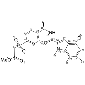 COC(=O)CS(=O)(=O)c1ccc([C@@H](C)NC(=O)c2cc3c(Cl)cc(C)c(C)c3n2C)cc1